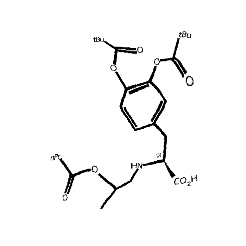 CCCC(=O)OC(C)CN[C@@H](Cc1ccc(OC(=O)C(C)(C)C)c(OC(=O)C(C)(C)C)c1)C(=O)O